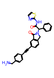 NCc1ccc(C#Cc2ccc3c(c2)C(=O)N([C@@H](C(=O)Nc2nccs2)c2ccccc2)C3)cc1